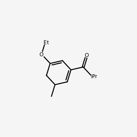 CCOC1=CC(C(=O)C(C)C)=CC(C)C1